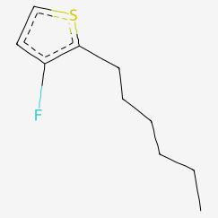 CCCCCCc1sccc1F